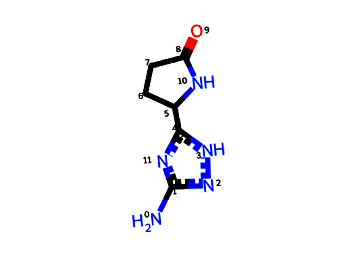 Nc1n[nH]c(C2CCC(=O)N2)n1